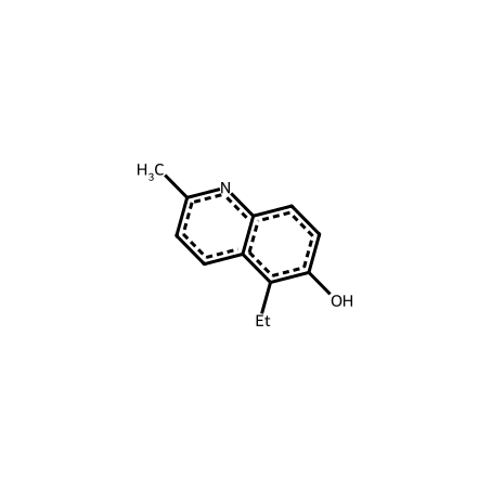 CCc1c(O)ccc2nc(C)ccc12